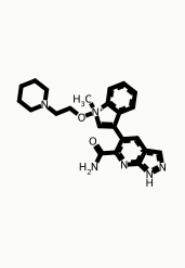 C[N+]1(OCCN2CCCCC2)C=C(c2cc3cn[nH]c3nc2C(N)=O)c2ccccc21